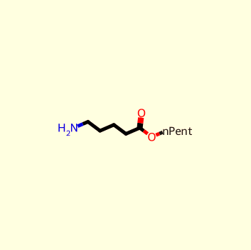 [CH2]CCCCOC(=O)CCCCN